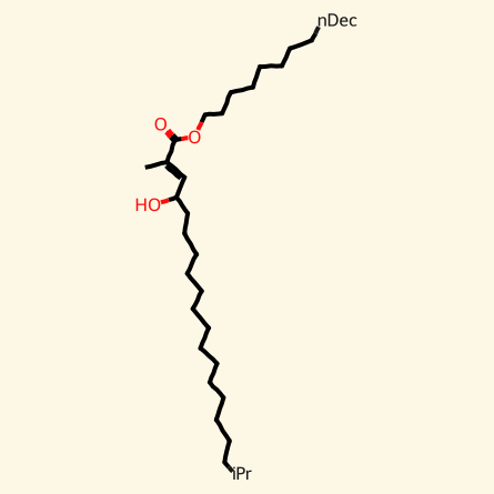 CCCCCCCCCCCCCCCCCCOC(=O)C(C)=CC(O)CCCCCCCCCCCCCCC(C)C